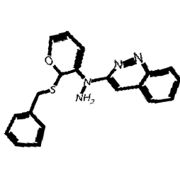 NN(C1=CC=COC1SCc1ccccc1)c1cc2ccccc2nn1